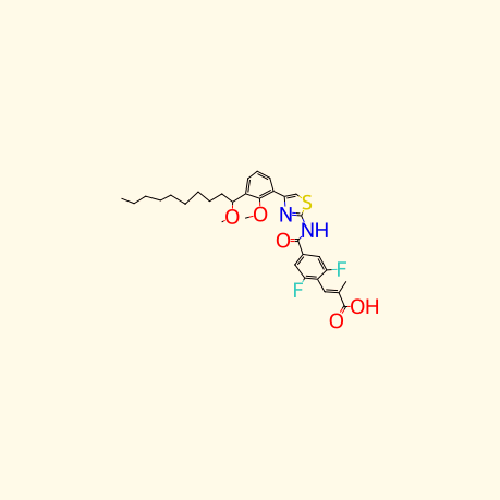 CCCCCCCCCC(OC)c1cccc(-c2csc(NC(=O)c3cc(F)c(C=C(C)C(=O)O)c(F)c3)n2)c1OC